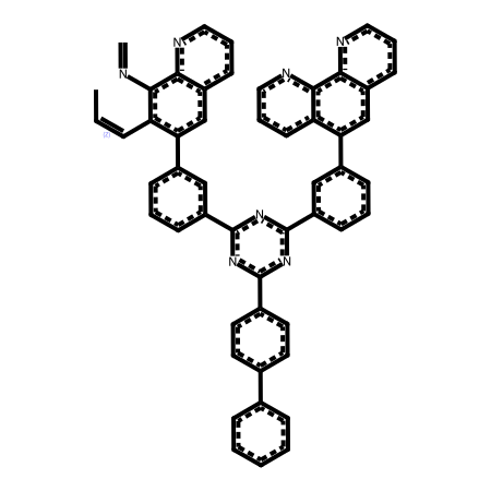 C=Nc1c(/C=C\C)c(-c2cccc(-c3nc(-c4ccc(-c5ccccc5)cc4)nc(-c4cccc(-c5cc6cccnc6c6ncccc56)c4)n3)c2)cc2cccnc12